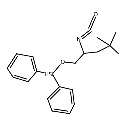 CC(C)(C)CC(CO[SiH](c1ccccc1)c1ccccc1)N=C=O